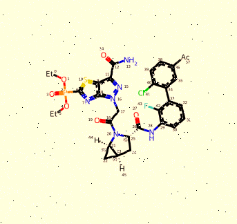 CCOP(=O)(OCC)c1nc2c(s1)c(C(N)=O)nn2CC(=O)N1[C@@H]2C[C@@H]2C[C@H]1C(=O)Nc1cccc(-c2cc(C(C)=O)ccc2Cl)c1F